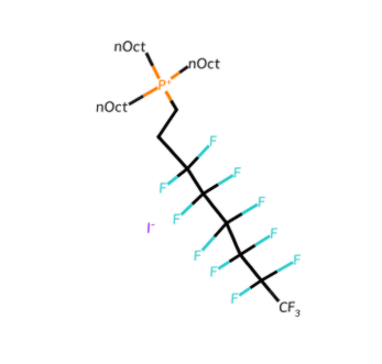 CCCCCCCC[P+](CCCCCCCC)(CCCCCCCC)CCC(F)(F)C(F)(F)C(F)(F)C(F)(F)C(F)(F)C(F)(F)F.[I-]